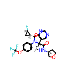 C[C@](C(=O)N[C@H]1CCOC1)(c1cncnc1)N(C(=O)[C@@H]1C[C@H]1F)c1ccc(OC(F)(F)F)cc1